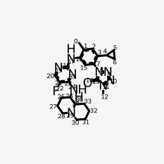 Cc1cc(C2CC2)c(-n2nnn(C)c2=O)cc1Nc1ncc(F)c(N[C@@H]2CCCN3CCCC[C@H]23)n1